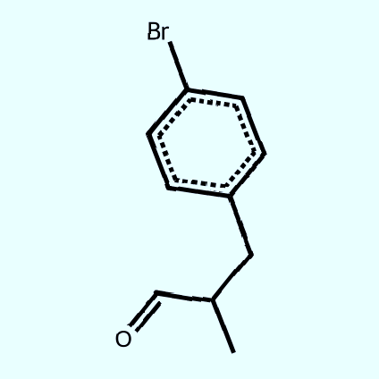 CC(C=O)Cc1ccc(Br)cc1